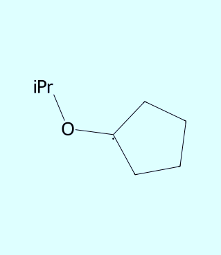 CC(C)O[C]1CCCC1